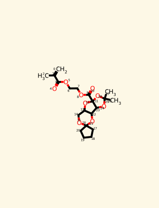 C=C(C)C(=O)OCCOC(=O)C12OC3COC4(CCCC4)OC3C1OC(C)(C)O2